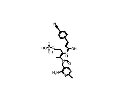 C/C(=C(CCOP(=O)(O)O)/[SH]=C(O)\C=C\c1ccc(C#N)cc1)N(C=O)Cc1cnc(C)nc1N